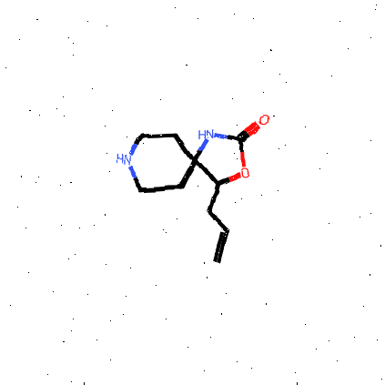 C=CCC1OC(=O)NC12CCNCC2